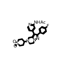 CC(=O)Nc1cc(-c2c(-c3ccc(F)cc3)nn3c2CN(C2CCS(=O)(=O)CC2)CC3)ccn1